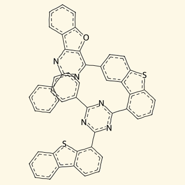 c1ccc(-c2nc(-c3cccc4c3sc3ccccc34)nc(-c3cccc4sc5ccc(-c6nc(-c7ccccc7)nc7c6oc6ccccc67)cc5c34)n2)cc1